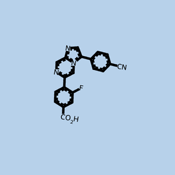 N#Cc1ccc(-c2cnc3cnc(-c4ccc(C(=O)O)cc4F)cn23)cc1